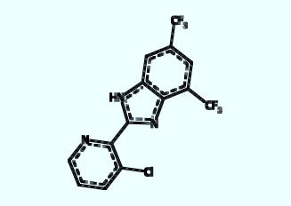 FC(F)(F)c1cc(C(F)(F)F)c2nc(-c3ncccc3Cl)[nH]c2c1